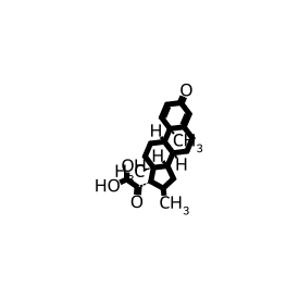 CC1C[C@H]2[C@@H]3CCC4=CC(=O)C=C[C@]4(C)[C@H]3CC[C@]2(C)[C@H]1C(=O)C(O)O